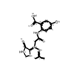 CC(C)=N[N+](CC(=O)Nc1ccc(Cl)cc1C(=O)O)=C1SCNC1=O